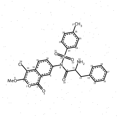 COc1oc(=O)c2cc(N(C(=O)C(N)Cc3ccccc3)S(=O)(=O)c3ccc(C)cc3)ccc2c1Cl